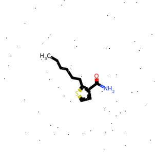 CCCCCCc1sccc1C(N)=O